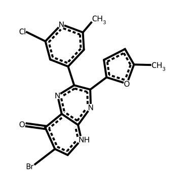 Cc1cc(-c2nc3c(=O)c(Br)c[nH]c3nc2-c2ccc(C)o2)cc(Cl)n1